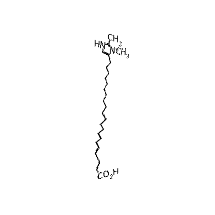 Cc1[nH]cc(CCCCCCCCCCCCCCCCCCCCC(=O)O)[n+]1C